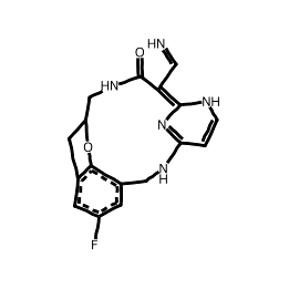 N=C/C1=C2/N=C(C=CN2)NCc2cc(F)cc3c2OC(CNC1=O)C3